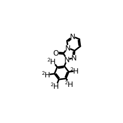 [2H]c1c([2H])c([2H])c(-n2nc3ccncn3c2=O)c([2H])c1[2H]